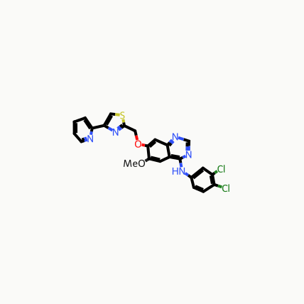 COc1cc2c(Nc3ccc(Cl)c(Cl)c3)ncnc2cc1OCc1nc(-c2ccccn2)cs1